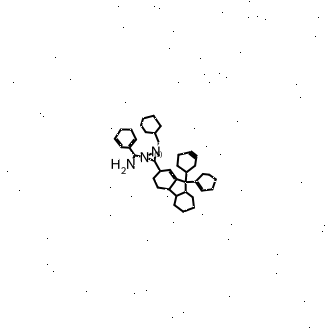 NC(C1=CCCC=C1)N1C(C2C=C3C(CC2)C2CCCCC2C3(C2=CCCCC2)C2CC#CCC2)[N@@]1CC1CCCCC1